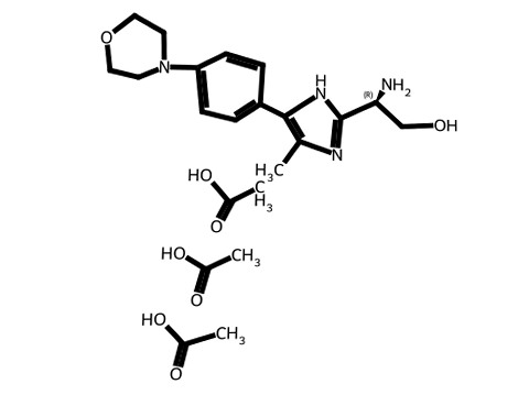 CC(=O)O.CC(=O)O.CC(=O)O.Cc1nc([C@@H](N)CO)[nH]c1-c1ccc(N2CCOCC2)cc1